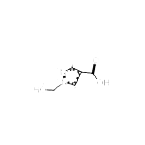 O=C(O)c1cnn(CO)c1